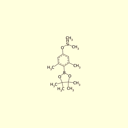 Cc1cc(O[SiH](C)C)cc(C)c1B1OC(C)(C)C(C)(C)O1